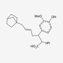 CCCC(C(=O)O)C(CC=CCC12CCC(CC1)C2)c1ccc(O)c(OC)c1